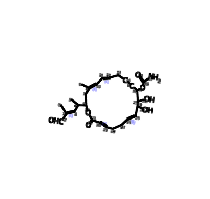 C/C(C=O)=C\C(C)C1C/C(C)=C/C=C/CCCC(OC(N)=O)C(O)C(O)/C=C/CC/C=C/C(=O)O1